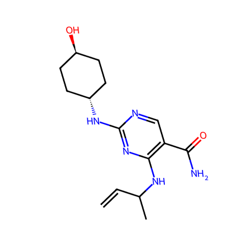 C=CC(C)Nc1nc(N[C@H]2CC[C@H](O)CC2)ncc1C(N)=O